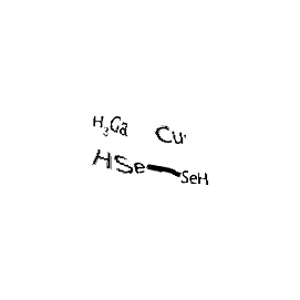 [Cu].[GaH3].[SeH][SeH]